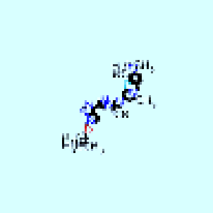 CC1CC(N2CC(CC#N)(n3cc(-c4ncnc5c4ccn5COCC[Si](C)(C)C)cn3)C2)CCN1Cc1ccc(N(C)C)c(C#N)c1F